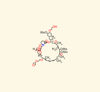 CO[C@@H]1/C(C)=C/[C@@H](C)C(=O)C[C@@H]([C@H](C)C[C@@H]2CC[C@@H](OCCO)[C@H](OC)C2)OC(=O)[C@@H]2CCCCN2C(=O)C(=O)[C@]2(O)O[C@@H](CC[C@H]2C)CC(OCCOC2COC2)/C(C)=C/C=C/C=C/[C@@H](C)C[C@@H](C)C(=O)[C@@H]1OC